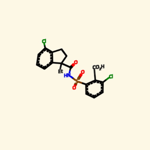 CCC1(C(=O)NS(=O)(=O)c2cccc(Cl)c2C(=O)O)CCc2c(Cl)cccc21